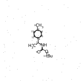 Cc1ccc([C@H](C)NC(=O)OC(C)(C)C)cc1